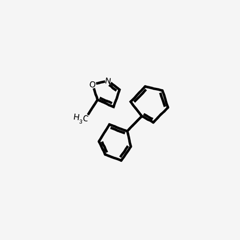 Cc1ccno1.c1ccc(-c2ccccc2)cc1